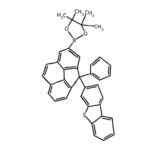 CC1(C)OB(c2cc3c4c(ccc5cccc(c54)C3(c3ccccc3)c3ccc4c(c3)sc3ccccc34)c2)OC1(C)C